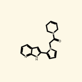 O=C(Cn1cccc1-c1cc2cccnc2[nH]1)N1CC=CCC1